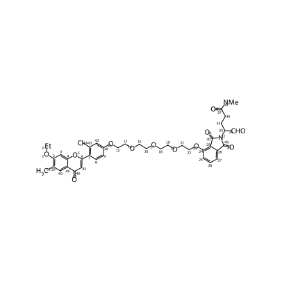 CCOc1cc2oc(-c3ccc(OCCOCCOCCOCCOc4cccc5c4C(=O)N(C(C=O)CCC(=O)NC)C5=O)cc3Cl)cc(=O)c2cc1C